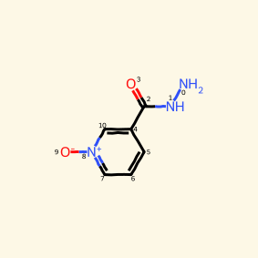 NNC(=O)c1ccc[n+]([O-])c1